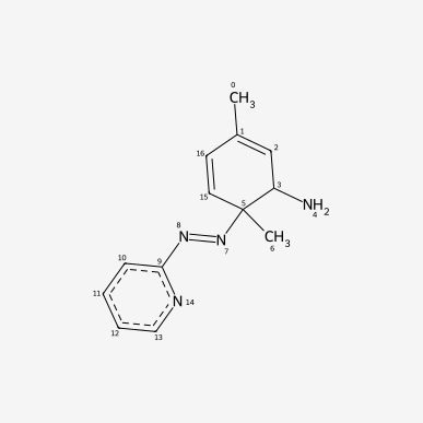 CC1=CC(N)C(C)(N=Nc2ccccn2)C=C1